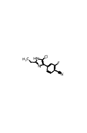 CCc1nc(-c2ccc(C#N)c(F)c2)c(Cl)[nH]1